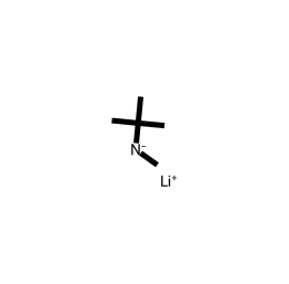 C[N-]C(C)(C)C.[Li+]